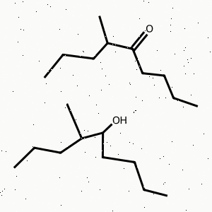 CCCCC(=O)C(C)CCC.CCCCC(O)C(C)CCC